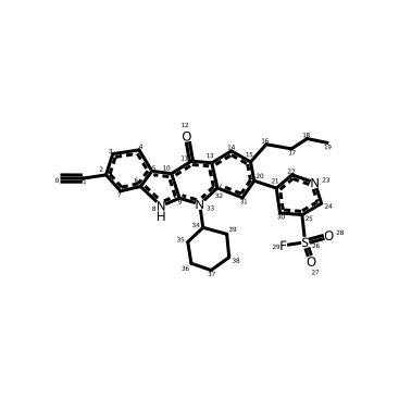 C#Cc1ccc2c(c1)[nH]c1c2c(=O)c2cc(CCCC)c(-c3cncc(S(=O)(=O)F)c3)cc2n1C1CCCCC1